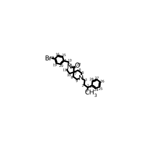 CC(CCN1CCC2(CC1)CCN(Cc1ccc(Br)cc1)C2=O)c1ccccc1